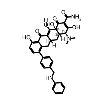 CN(C)[C@@H]1C(O)=C(C(N)=O)C(=O)[C@@]2(O)C(O)=C3C(=O)c4c(O)ccc(-c5ccc(CNc6ccccc6)cc5)c4C[C@H]3C[C@@H]12